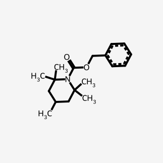 CC1CC(C)(C)N(C(=O)OCc2ccccc2)C(C)(C)C1